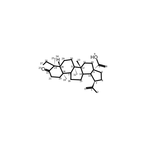 C=C(C)[C@@H]1CC[C@]2(C(=C)O)CC[C@]3(C)C(CCC4[C@@]5(C)CCC(=O)[C@@](C)(CC)[C@@H]5CC[C@]43C)C12